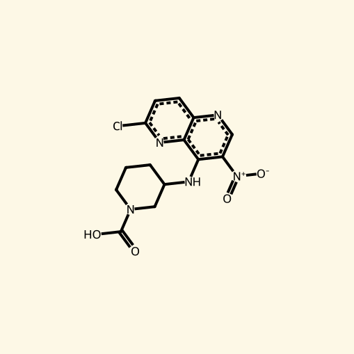 O=C(O)N1CCCC(Nc2c([N+](=O)[O-])cnc3ccc(Cl)nc23)C1